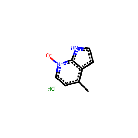 Cc1cc[n+]([O-])c2[nH]ccc12.Cl